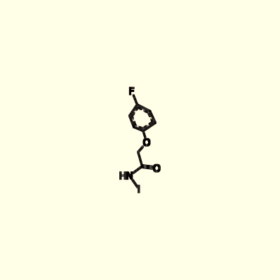 O=C(COc1ccc(F)cc1)NI